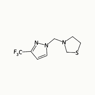 FC(F)(F)c1ccn(CN2CCSC2)n1